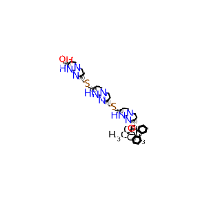 CC(C)(C)[Si](OC[C@H]1CCN2CC[C@H](CSC[C@H]3CCN4CC[C@H](CSC[C@H]5CCN6CC[C@H](CO)NC6=N5)NC4=N3)NC2=N1)(c1ccccc1)c1ccccc1